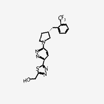 OCc1nnc(-c2ccc(N3CC[C@H](Cc4ccccc4C(F)(F)F)C3)nn2)s1